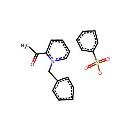 CC(=O)c1cccc[n+]1Cc1ccccc1.O=S(=O)([O-])c1ccccc1